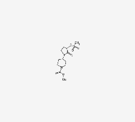 CC(C)(C)OC(=O)N1CCC(N2CCC(OS(C)(=O)=O)C2=O)CC1